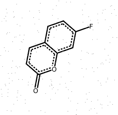 O=c1ccc2ccc(F)cc2o1